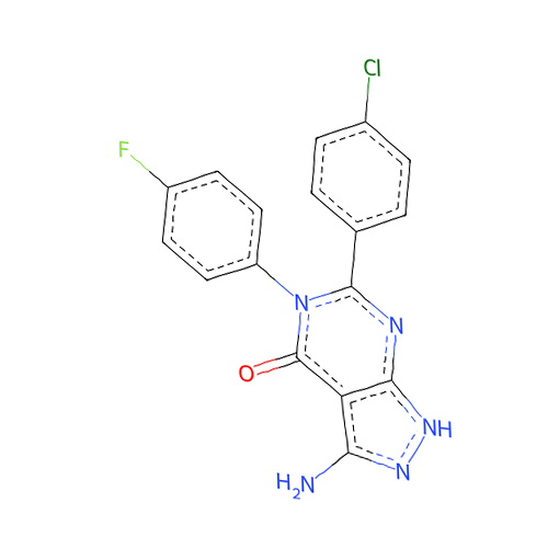 Nc1n[nH]c2nc(-c3ccc(Cl)cc3)n(-c3ccc(F)cc3)c(=O)c12